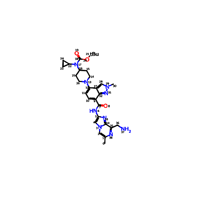 Cc1cn2cc(NC(=O)c3ccc(N4CCC(N(C(=O)OC(C)(C)C)C5CC5)CC4)c4cn(C)nc34)nc2c(CN)n1